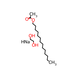 CCCCCCCCCCCCCCOC(C)=O.OCCO.[NaH]